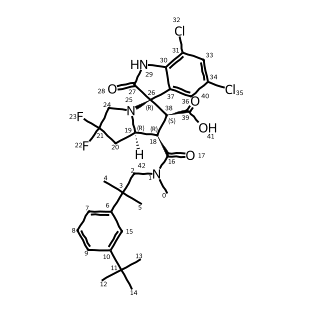 CN(CC(C)(C)c1cccc(C(C)(C)C)c1)C(=O)[C@H]1[C@H]2CC(F)(F)CN2[C@]2(C(=O)Nc3c(Cl)cc(Cl)cc32)[C@H]1C(=O)O